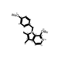 COc1ccc(Cn2c(C)c(C)c3ccnc(OCC(C)C)c32)cc1